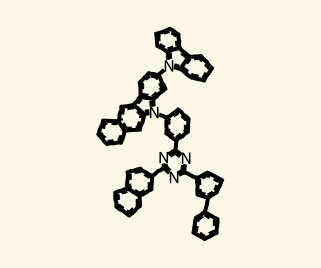 c1ccc(-c2cccc(-c3nc(-c4cccc(-n5c6cc(-n7c8ccccc8c8ccccc87)ccc6c6cc7ccccc7cc65)c4)nc(-c4ccc5ccccc5c4)n3)c2)cc1